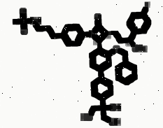 CC(=O)O[C@@H](CC[C@H]1C(=O)N(c2ccc(CCCNS(C)(=O)=O)cc2)[C@@H]1c1ccc(-c2ccc(C(O)(CO)CO)cc2)cc1OCc1ccccc1)c1ccc(F)cc1